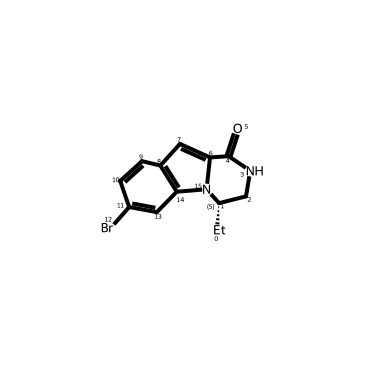 CC[C@H]1CNC(=O)c2cc3ccc(Br)cc3n21